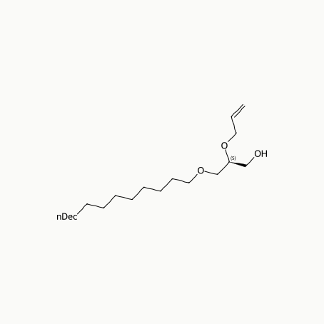 C=CCO[C@@H](CO)COCCCCCCCCCCCCCCCCCC